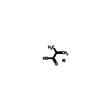 C=C(C)C(=O)O.[Ni]